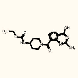 CCOC(=O)NC1CCN(C(=O)c2csc3c(O)nc(N)nc23)CC1